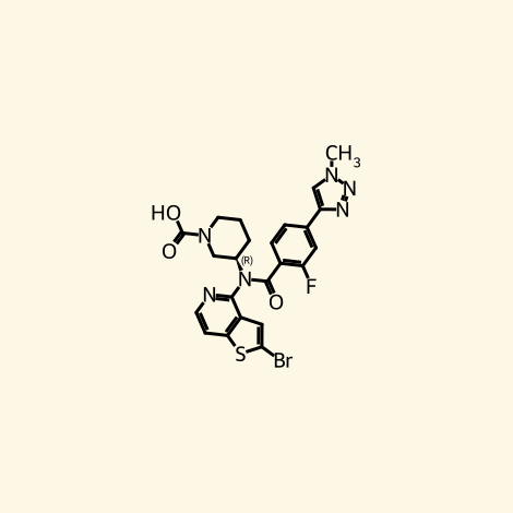 Cn1cc(-c2ccc(C(=O)N(c3nccc4sc(Br)cc34)[C@@H]3CCCN(C(=O)O)C3)c(F)c2)nn1